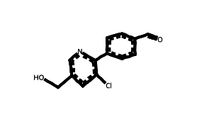 O=Cc1ccc(-c2ncc(CO)cc2Cl)cc1